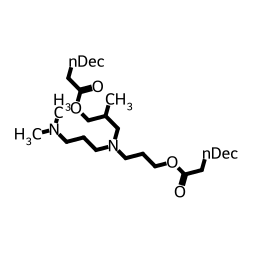 CCCCCCCCCCCC(=O)OCCCN(CCCN(C)C)CC(C)COC(=O)CCCCCCCCCCC